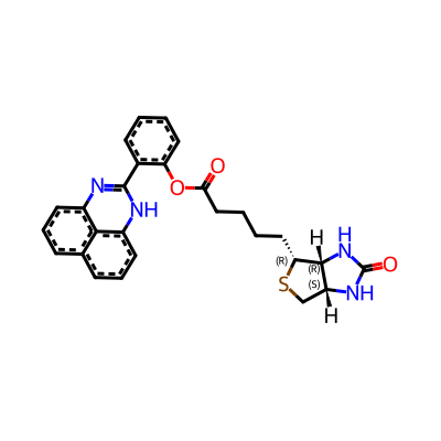 O=C1N[C@@H]2[C@@H](CS[C@@H]2CCCCC(=O)Oc2ccccc2C2=Nc3cccc4cccc(c34)N2)N1